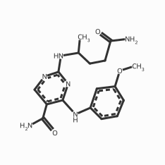 COc1cccc(Nc2nc(NC(C)CCC(N)=O)ncc2C(N)=O)c1